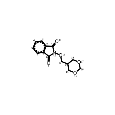 O=C1c2ccccc2C(=O)N1OCC1COCOC1